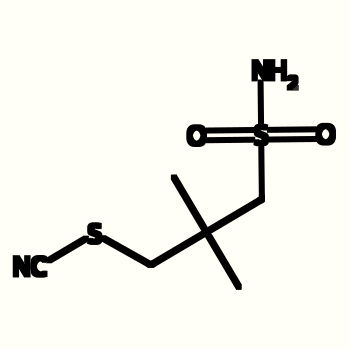 CC(C)(CSC#N)CS(N)(=O)=O